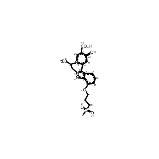 CC(C)(C)C1Cn2nc3c(OCCCS(C)(=O)=O)cccc3c2-c2cc(=O)c(C(=O)O)cn21